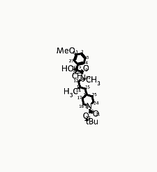 COc1cccc([C@@](O)(C(=O)N(C)CC(C)CC2CCN(C(=O)OC(C)(C)C)CC2)C(F)(F)F)c1